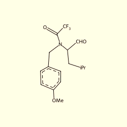 COc1ccc(CN(C(=O)C(F)(F)F)C(C=O)CC(C)C)cc1